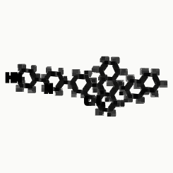 Cc1cc(-c2ccc(C3=CCNC=C3)nc2)ccc1C1=c2ccccc2=C(c2ccc3ccccc3c2)C2C=CC=CC12